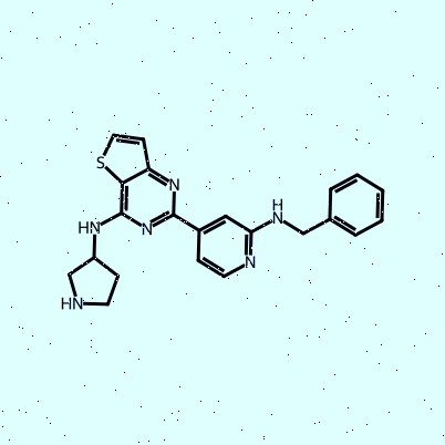 c1ccc(CNc2cc(-c3nc(NC4CCNC4)c4sccc4n3)ccn2)cc1